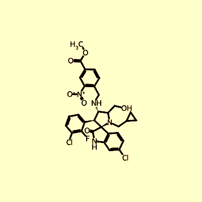 COC(=O)c1ccc(CN[C@@H]2C(CO)N(CC3CC3)[C@@]3(C(=O)Nc4cc(Cl)ccc43)[C@H]2c2cccc(Cl)c2F)c([N+](=O)[O-])c1